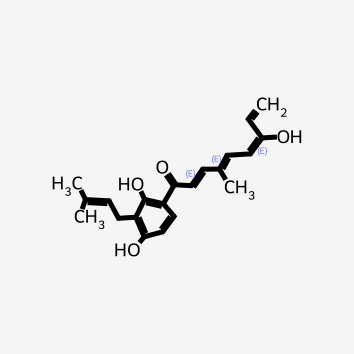 C=C\C(O)=C/C=C(C)/C=C/C(=O)c1ccc(O)c(CC=C(C)C)c1O